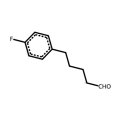 O=C[CH]CCCc1ccc(F)cc1